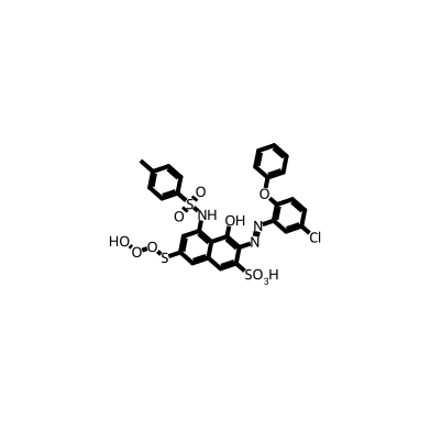 Cc1ccc(S(=O)(=O)Nc2cc(SOOO)cc3cc(S(=O)(=O)O)c(N=Nc4cc(Cl)ccc4Oc4ccccc4)c(O)c23)cc1